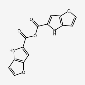 O=C(OC(=O)c1cc2occc2[nH]1)c1cc2occc2[nH]1